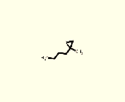 [CH2]C1(CCCC)CO1